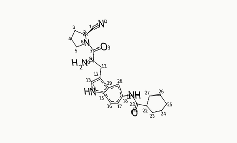 N#C[C@@H]1CCCN1C(=O)[C@@H](N)Cc1c[nH]c2ccc(NC(=O)C3CCCCC3)cc12